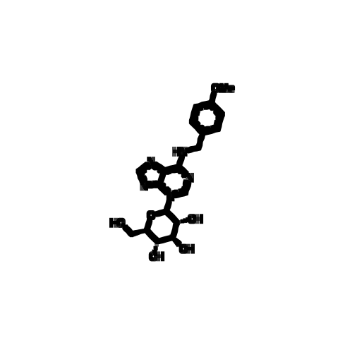 COc1ccc(CNc2ncn(C3O[C@H](CO)[C@@H](O)[C@H](O)[C@H]3O)c3ncnc2-3)cc1